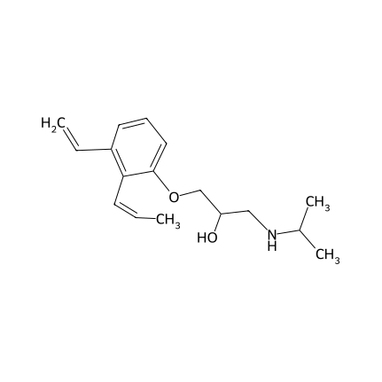 C=Cc1cccc(OCC(O)CNC(C)C)c1/C=C\C